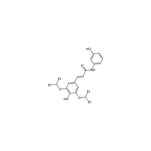 CCC(CC)Oc1cc(/C=C/C(=O)Nc2cccc(O)c2)cc(OC(CC)CC)c1O